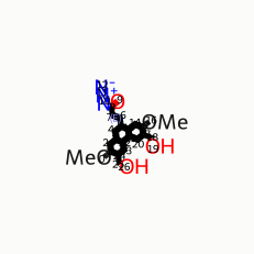 COc1cc2cc(/C=C/C(=O)N=[N+]=[N-])c3cc(OC)c(CO)cc3c2cc1CO